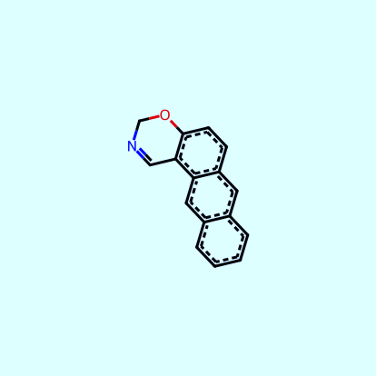 C1=NCOc2ccc3cc4ccccc4cc3c21